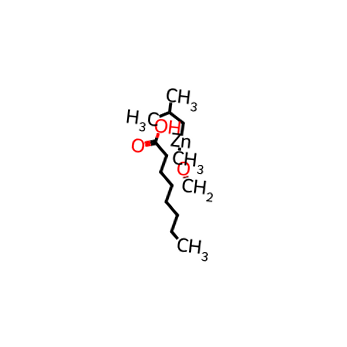 C=O.CCCCCCCC(=O)O.[CH3][Zn][CH2]C(C)C